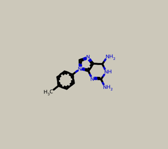 Cc1ccc(-n2cnc3c2N=C(N)NC3N)cc1